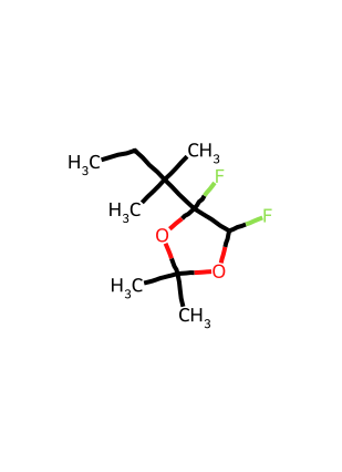 CCC(C)(C)C1(F)OC(C)(C)OC1F